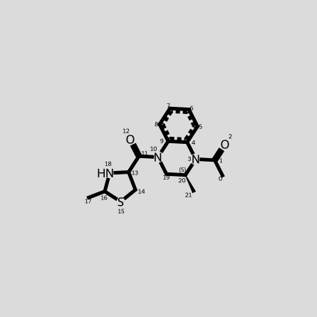 CC(=O)N1c2ccccc2N(C(=O)C2CSC(C)N2)C[C@@H]1C